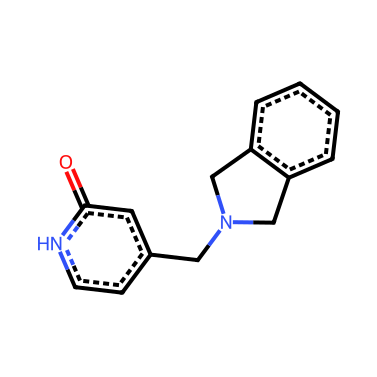 O=c1cc(CN2Cc3ccccc3C2)cc[nH]1